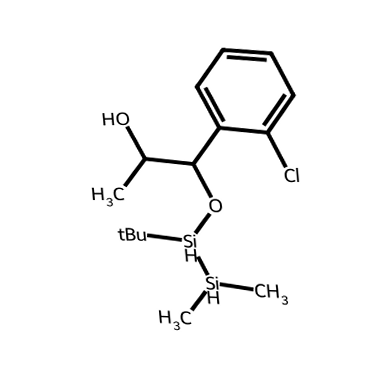 CC(O)C(O[SiH]([SiH](C)C)C(C)(C)C)c1ccccc1Cl